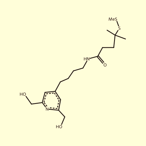 CSSC(C)(C)CCC(=O)NCCCCc1cc(CO)nc(CO)c1